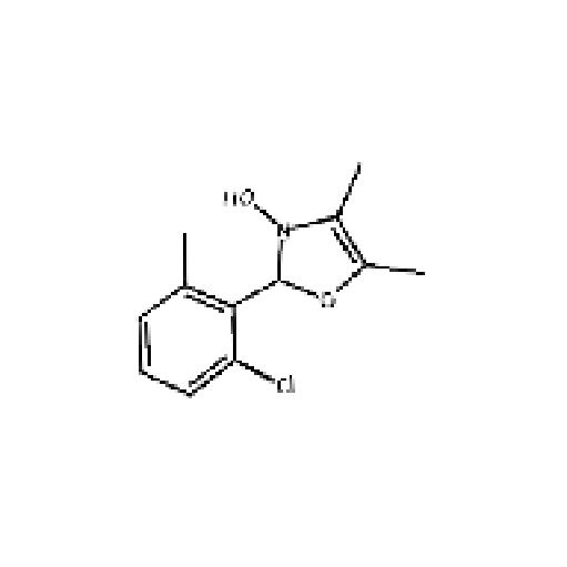 CC1=C(C)N(O)C(c2c(C)cccc2Cl)O1